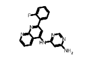 Nc1cc(Nc2cc(-c3ccccc3F)nc3ncccc23)ncn1